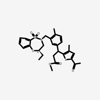 CC[C@@H]1CN(Cc2cc(C(CC(=O)OC)c3sc(C(C)=O)cc3C)ccc2C)S(=O)(=O)c2ccccc2O1